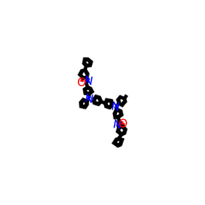 CC1C=CC(N(c2ccc(-c3ccc(N(c4ccccc4)c4ccc(C5=NC6C=C(c7ccccc7)C=CC6O5)cc4)cc3)cc2)c2ccc(-c3nc4cc(-c5ccccc5)ccc4o3)cc2)=CC1